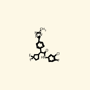 Cn1nnc(-c2ccc(C(C(=O)Nc3ccc(F)c(Cl)c3)C3CCC(F)(F)C3)cc2)n1